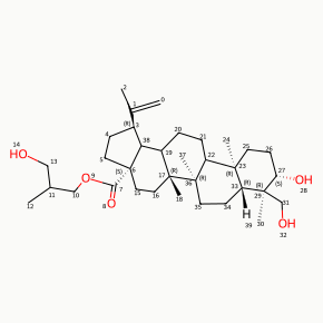 C=C(C)[C@@H]1CC[C@]2(C(=O)OCC(C)CO)CC[C@]3(C)C(CCC4[C@@]5(C)CC[C@H](O)[C@@](C)(CO)[C@@H]5CC[C@]43C)C12